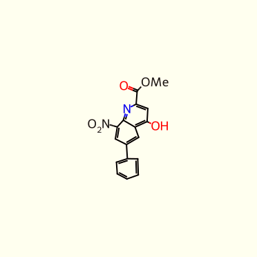 COC(=O)c1cc(O)c2cc(-c3ccccc3)cc([N+](=O)[O-])c2n1